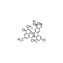 Cc1cc([C@@H](C)Nc2ccc(Cl)cc2-c2ccc3c(c2)C=NOB3O)c2occ(C)c(=O)c2c1